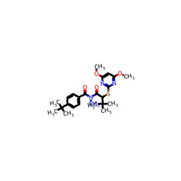 COc1cc(OC)nc(SC(C(=O)N(N)C(=O)c2ccc(C(C)(C)C)cc2)C(C)(C)C)n1